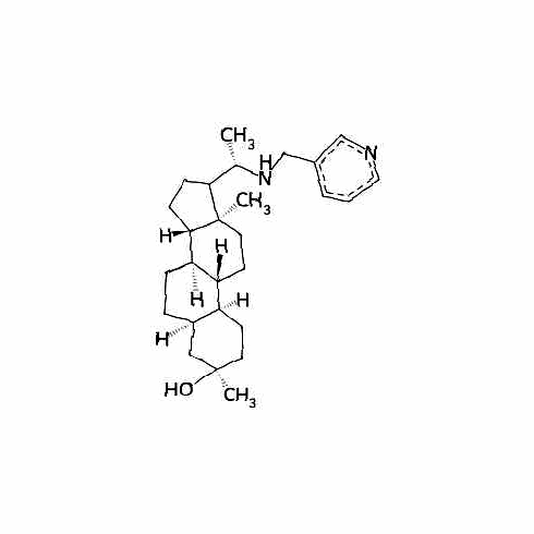 C[C@H](NCc1cccnc1)C1CC[C@H]2[C@@H]3CC[C@@H]4C[C@](C)(O)CC[C@@H]4[C@H]3CC[C@]12C